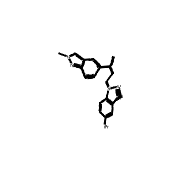 CC(C)c1ccc2c(cnn2CCC(C)c2ccc3nn(C)cc3c2)c1